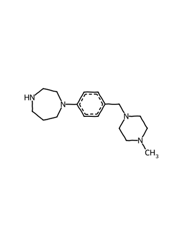 CN1CCN(Cc2ccc(N3CCCNCC3)cc2)CC1